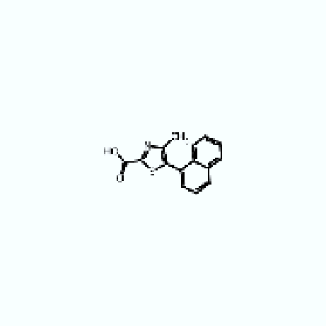 Cc1nc(C(=O)O)sc1-c1cccc2ccccc12